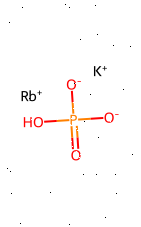 O=P([O-])([O-])O.[K+].[Rb+]